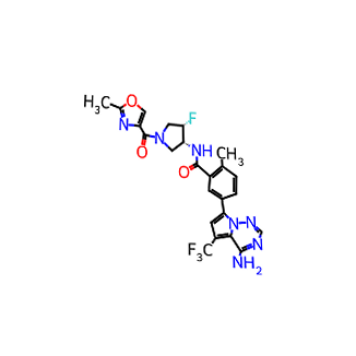 Cc1nc(C(=O)N2C[C@H](F)[C@H](NC(=O)c3cc(-c4cc(C(F)(F)F)c5c(N)ncnn45)ccc3C)C2)co1